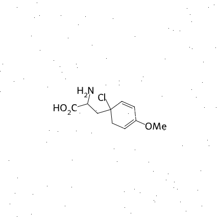 COC1=CCC(Cl)(CC(N)C(=O)O)C=C1